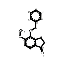 COc1ccc2c(c1OCc1ccccc1)CCC2=O